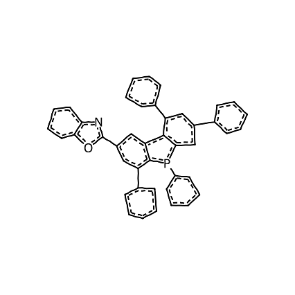 c1ccc(-c2cc(-c3ccccc3)c3c4cc(-c5nc6ccccc6o5)cc(-c5ccccc5)c4p(-c4ccccc4)c3c2)cc1